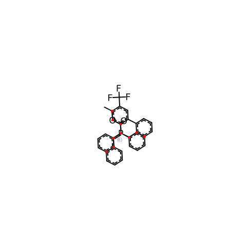 CCOC(=O)/C(=C/c1ccccc1)Cc1ccccc1-c1cc(C(F)(F)F)ccc1P(c1ccccc1)c1ccccc1